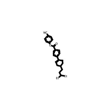 CCC(CC)CCC1CC=C(c2ccc(C(=O)Oc3ccc(C#N)cc3)cc2)CC1